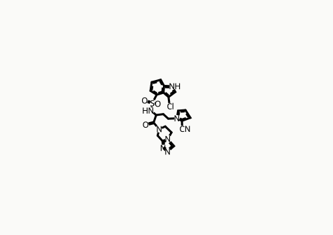 N#Cc1cccn1CCC(NS(=O)(=O)c1cccc2[nH]cc(Cl)c12)C(=O)N1CCn2cnnc2C1